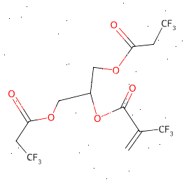 C=C(C(=O)OC(COC(=O)CC(F)(F)F)COC(=O)CC(F)(F)F)C(F)(F)F